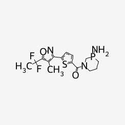 Cc1c(-c2ccc(C(=O)N3CCCP(N)C3)s2)noc1C(C)(F)F